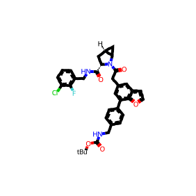 CC(C)(C)OC(=O)NCc1ccc(-c2cc(CC(=O)N3C4C[C@@H]4C[C@H]3C(=O)NCc3cccc(Cl)c3F)cc3ccoc23)cc1